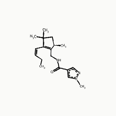 CC/C=C\C1=C(CNC(=O)c2cnn(C)c2)[C@H](C)CC1(C)C